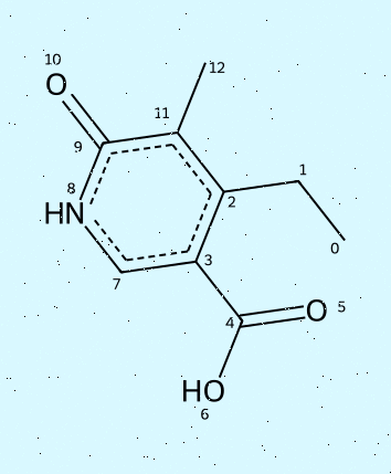 CCc1c(C(=O)O)c[nH]c(=O)c1C